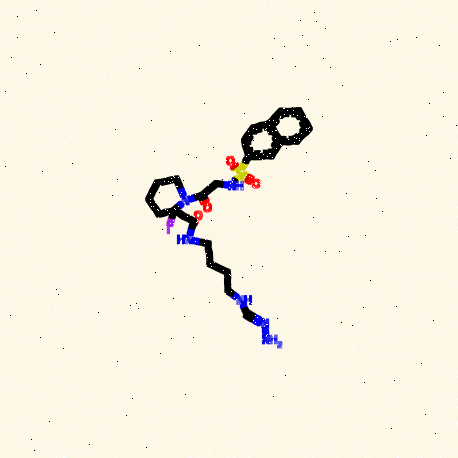 NN=CNCCCCNC(=O)C1(I)CCCCN1C(=O)CNS(=O)(=O)c1ccc2ccccc2c1